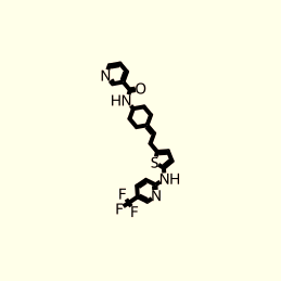 O=C(NC1CCC(=CCc2ccc(Nc3ccc(C(F)(F)F)cn3)s2)CC1)c1cccnc1